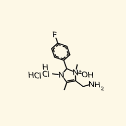 CC1=C(CN)[N+](C)(O)C(c2ccc(F)cc2)N1C.Cl.Cl